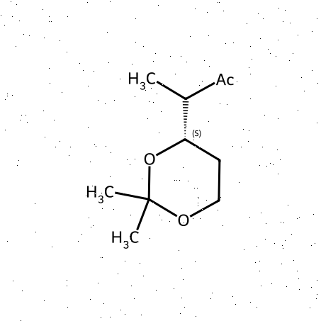 CC(=O)C(C)[C@@H]1CCOC(C)(C)O1